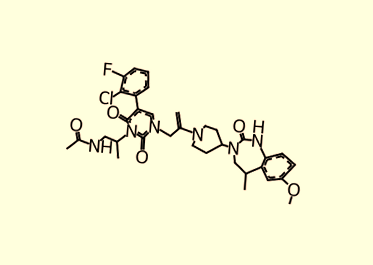 C=C(Cn1cc(-c2cccc(F)c2Cl)c(=O)n(C(C)CNC(C)=O)c1=O)N1CCC(N2CC(C)c3cc(OC)ccc3NC2=O)CC1